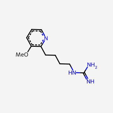 COc1cccnc1CCCCNC(=N)N